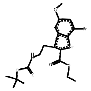 CCOC(=O)c1[nH]c2c(Br)cc(OC)cc2c1CCNC(=O)OC(C)(C)C